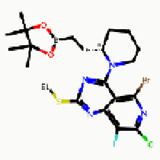 CCSc1nc(N2CCCC[C@H]2CCB2OC(C)(C)C(C)(C)O2)c2c(Br)nc(Cl)c(F)c2n1